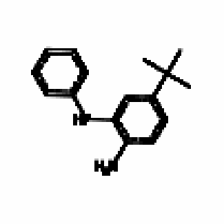 CC(C)(C)c1ccc(N)c(Pc2ccccc2)c1